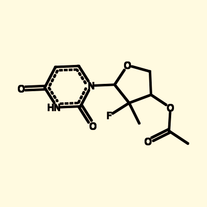 CC(=O)OC1COC(n2ccc(=O)[nH]c2=O)C1(C)F